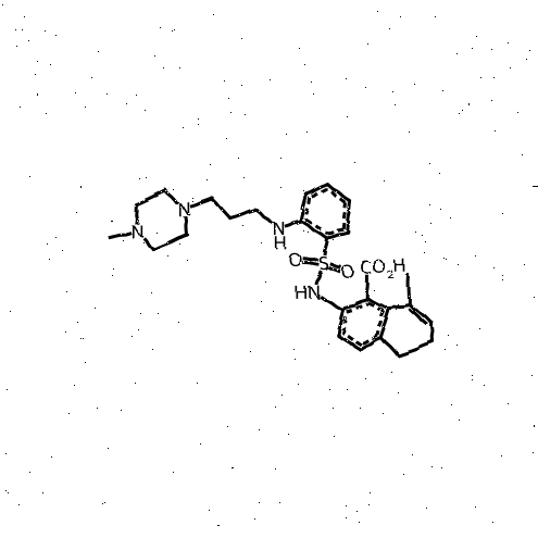 CC1=CCCc2ccc(NS(=O)(=O)c3ccccc3NCCCN3CCN(C)CC3)c(C(=O)O)c21